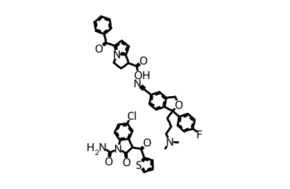 CN(C)CCCC1(c2ccc(F)cc2)OCc2cc(C#N)ccc21.NC(=O)N1C(=O)C(C(=O)c2cccs2)c2cc(Cl)ccc21.O=C(c1ccccc1)c1ccc2n1CCC2C(=O)O